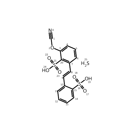 N#COc1cccc(C=Cc2ccccc2S(=O)(=O)O)c1S(=O)(=O)O.S